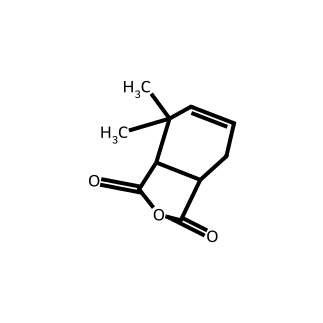 CC1(C)C=CCC2C(=O)OC(=O)C21